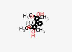 COCc1cc(C(C)(c2ccccc2)c2cc(C)c(O)c(COC)c2)cc(C)c1O